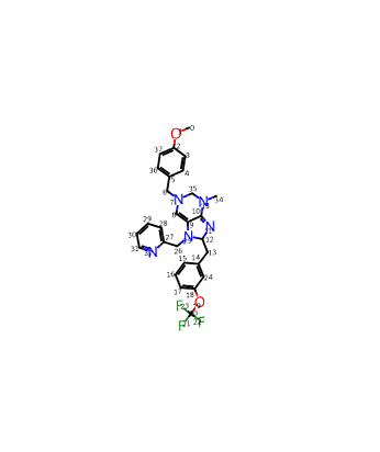 COc1ccc(CN2C=C3C(=NC(Cc4cccc(OC(F)(F)F)c4)N3Cc3ccccn3)N(C)C2)cc1